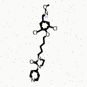 CO/N=C/c1cc(Cl)c(OCCCCCN2CCN(c3ccncc3)C2=O)c(Cl)c1